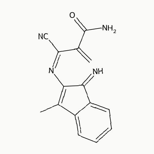 C=C(C(N)=O)/C(C#N)=N\C1=C(C)c2ccccc2C1=N